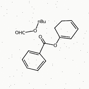 CCCCOC=O.O=C(OC1=CC=CCC1)c1ccccc1